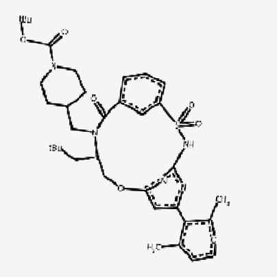 Cc1cccc(C)c1-c1cc2nc(n1)NS(=O)(=O)c1cccc(c1)C(=O)N(CC1CCN(C(=O)OC(C)(C)C)CC1)[C@H](CC(C)(C)C)CO2